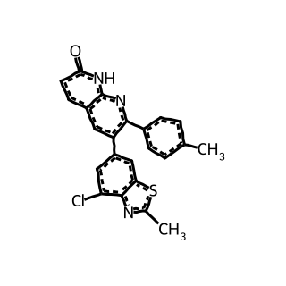 Cc1ccc(-c2nc3[nH]c(=O)ccc3cc2-c2cc(Cl)c3nc(C)sc3c2)cc1